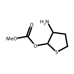 COC(=O)OC1SCCC1N